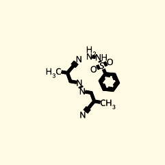 CC(C#N)CN=NCC(C)C#N.NNS(=O)(=O)c1ccccc1